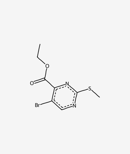 CCOC(=O)c1nc(SC)ncc1Br